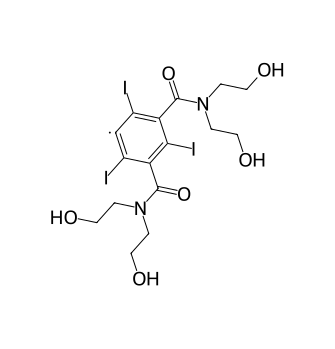 O=C(c1c(I)[c]c(I)c(C(=O)N(CCO)CCO)c1I)N(CCO)CCO